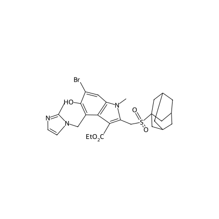 CCOC(=O)c1c(CS(=O)(=O)C23CC4CC(CC(C4)C2)C3)n(C)c2cc(Br)c(O)c(Cn3ccnc3C)c12